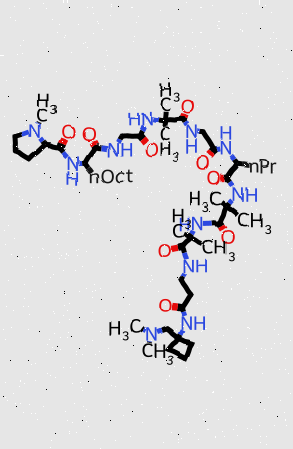 CCCCCCCCC(NC(=O)C1CCCN1C)C(=O)NCC(=O)NC(C)(C)C(=O)NCC(=O)NC(CCC)C(=O)NC(C)(C)C(=O)NC(C)(C)C(=O)NCCC(=O)NC1(CN(C)C)CCC1